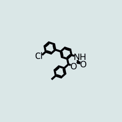 Cc1ccc(C2OC(=O)Nc3ccc(-c4cccc(Cl)c4)cc32)cc1